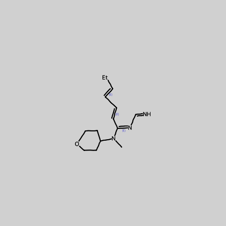 CC/C=C/C=C/C(=N\C=N)N(C)C1CCOCC1